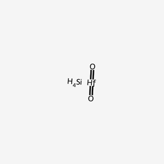 [O]=[Hf]=[O].[SiH4]